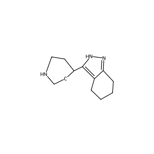 C1CCc2c(n[nH]c2C2CCNCC2)C1